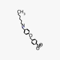 CCCCCC/N=C/c1ccc(OCc2ccc([N+](=O)[O-])cc2)cc1